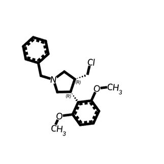 COc1cccc(OC)c1[C@@H]1CN(Cc2ccccc2)C[C@@H]1CCl